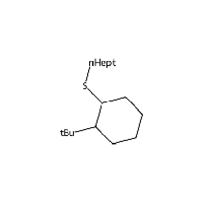 CCCCCCCSC1CCCCC1C(C)(C)C